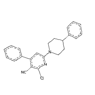 N#Cc1c(-c2ccccc2)cc(N2CCC(c3ccccc3)CC2)nc1Cl